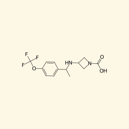 CC(NC1CN(C(=O)O)C1)c1ccc(OC(F)(F)F)cc1